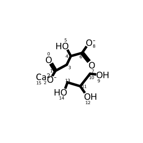 O=C([O-])CC(O)C(=O)[O-].OCC(O)CO.[Ca+2]